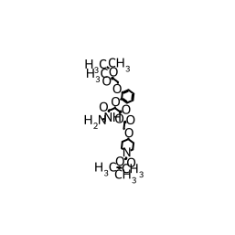 CC(C)(C)OC(=O)COc1ccccc1OC(C(=O)NN)C(=O)OC(=O)COC1CCN(C(=O)OC(C)(C)C)CC1